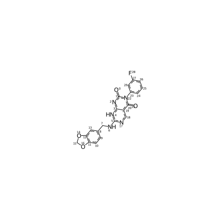 O=c1nc2[nH]c(NCc3ccc4c(c3)OCO4)ncc-2c(=O)n1-c1cccc(F)c1